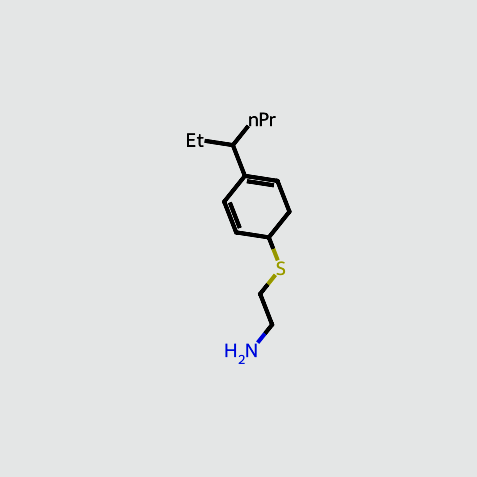 CCCC(CC)C1=CCC(SCCN)C=C1